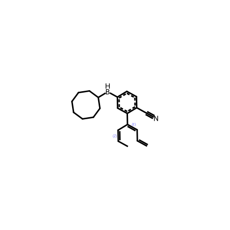 C=C/C=C(\C=C/C)c1cc(BC2CCCCCCC2)ccc1C#N